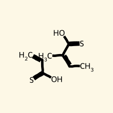 C=CC(O)=S.CC=C(C)C(O)=S